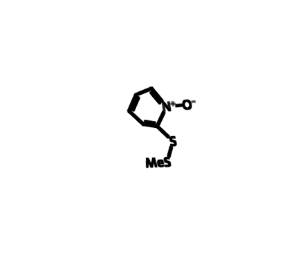 CSSc1cccc[n+]1[O-]